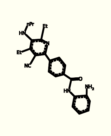 CCCNc1c(CC)nc(-c2ccc(C(=O)Nc3ccccc3N)cc2)c(C#N)c1CC